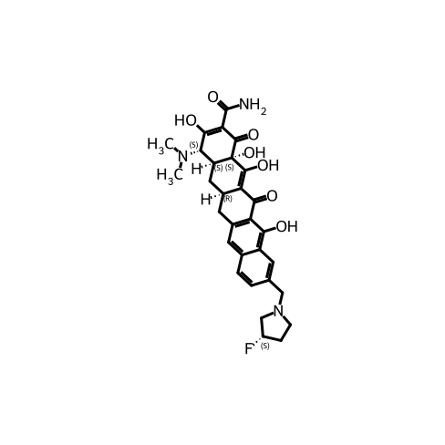 CN(C)[C@@H]1C(O)=C(C(N)=O)C(=O)[C@@]2(O)C(O)=C3C(=O)c4c(cc5ccc(CN6CC[C@H](F)C6)cc5c4O)C[C@H]3C[C@@H]12